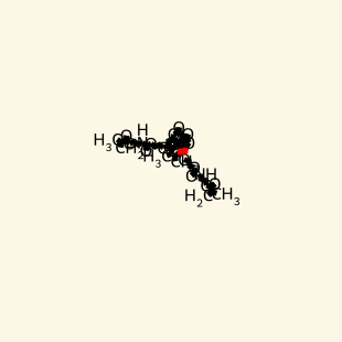 C=C(C)C(=O)OCCNC(=O)OCCOc1cc2c(cc1CC)C1(CC(=O)O2)C(=O)Oc2cc(OCCOC(=O)NCCOC(=O)C(=C)C)c(CC)cc21